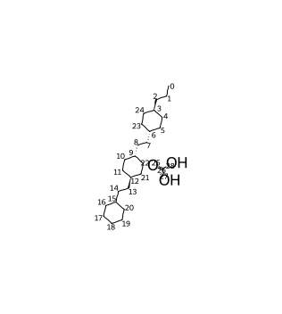 CCC[C@H]1CC[C@H](CC[C@H]2CC[C@H](CCC3CCCCC3)CC2)CC1.O=C(O)O